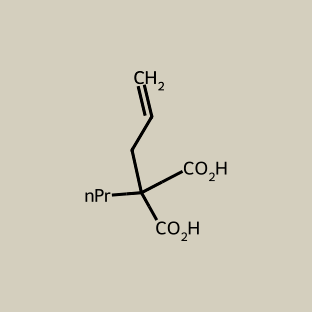 C=CCC(CCC)(C(=O)O)C(=O)O